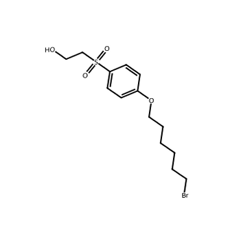 O=S(=O)(CCO)c1ccc(OCCCCCCBr)cc1